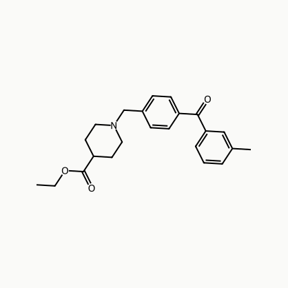 CCOC(=O)C1CCN(Cc2ccc(C(=O)c3cccc(C)c3)cc2)CC1